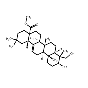 COC(=O)[C@]12CCC(C)(C)C[C@H]1C1=CC[C@@H]3[C@@]4(C)CC[C@H](O)[C@@](C)(CO)[C@@H]4CC[C@@]3(C)[C@]1(C)CC2